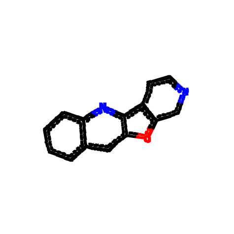 c1ccc2nc3c(cc2c1)oc1cnccc13